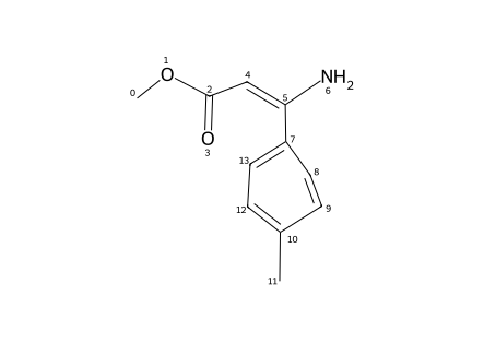 COC(=O)/C=C(/N)c1ccc(C)cc1